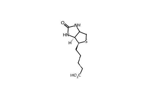 O=C(O)CCCC[C@@H]1SCC2NC(=O)N[C@@H]21